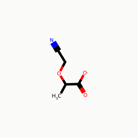 CC(OCC#N)C([O])=O